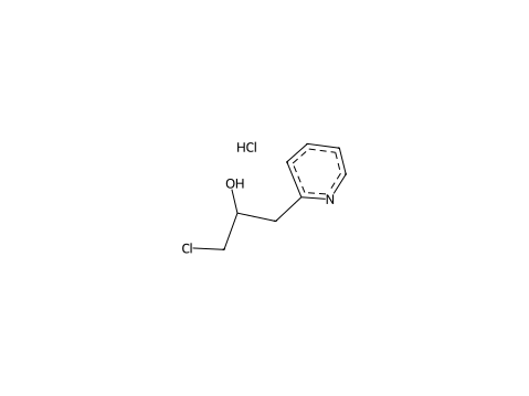 Cl.OC(CCl)Cc1ccccn1